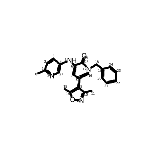 Cc1ccc(Nc2cc(-c3c(C)noc3C)cn(Cc3ccccc3)c2=O)cn1